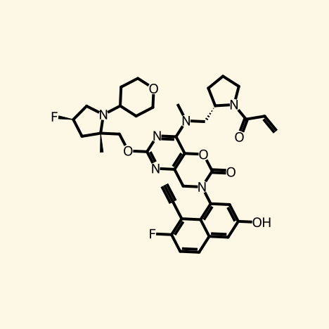 C#Cc1c(F)ccc2cc(O)cc(N3Cc4nc(OC[C@]5(C)C[C@@H](F)CN5C5CCOCC5)nc(N(C)C[C@@H]5CCCN5C(=O)C=C)c4OC3=O)c12